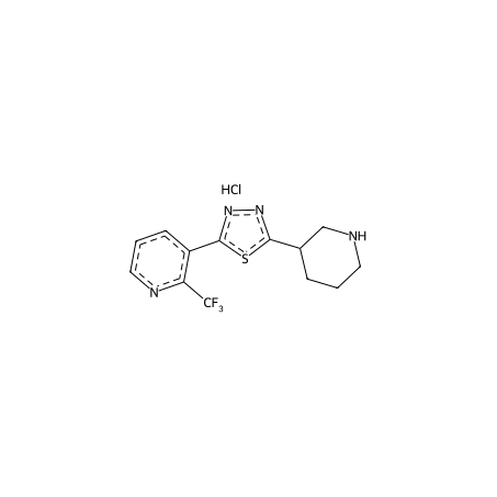 Cl.FC(F)(F)c1ncccc1-c1nnc(C2CCCNC2)s1